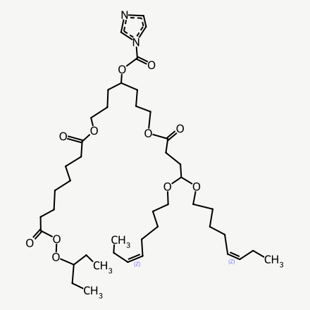 CC/C=C\CCCCOC(CCC(=O)OCCCC(CCCOC(=O)CCCCCCC(=O)OOC(CC)CC)OC(=O)n1ccnc1)OCCCC/C=C\CC